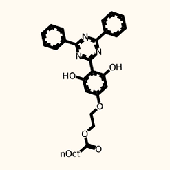 CCCCCCCCC(=O)OCCOc1cc(O)c(-c2nc(-c3ccccc3)nc(-c3ccccc3)n2)c(O)c1